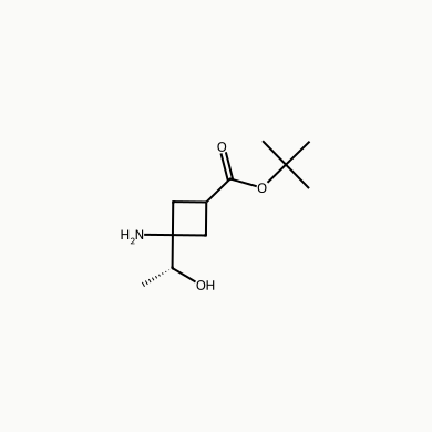 C[C@@H](O)C1(N)CC(C(=O)OC(C)(C)C)C1